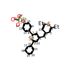 CCC1=CC(=Cc2cc(-c3ccccc3)[s+]c(-c3ccccc3)c2)C=C(CC)S1.[O-][Cl+3]([O-])([O-])[O-]